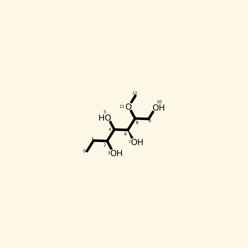 CCC(O)C(O)[C@H](O)C(CO)OC